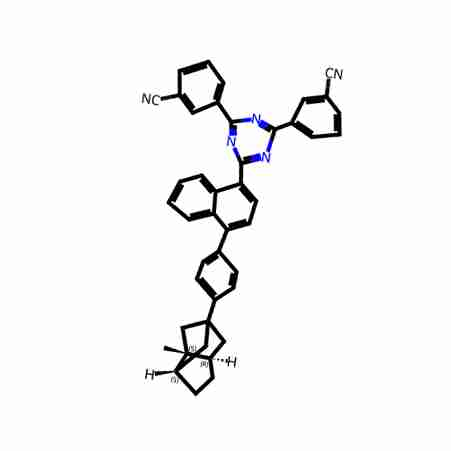 C[C@@]12CC3(c4ccc(-c5ccc(-c6nc(-c7cccc(C#N)c7)nc(-c7cccc(C#N)c7)n6)c6ccccc56)cc4)C[C@H]1CC[C@H]2C3